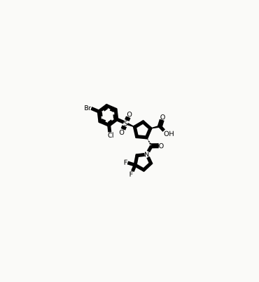 O=C(O)[C@@H]1C[C@H](S(=O)(=O)c2ccc(Br)cc2Cl)C[C@H]1C(=O)N1CCC(F)(F)C1